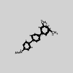 CNc1ccc(-c2ccc(-c3cc(C)cc(C)c3)cc2)cc1